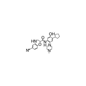 CN1CCN(c2cc(C3CCCC3)c(O)cc2NC(=O)C2CNc3cc(C#N)ccc3O2)CC1